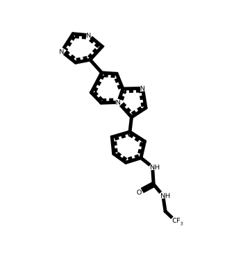 O=C(NCC(F)(F)F)Nc1cccc(-c2cnc3cc(-c4cncnc4)ccn23)c1